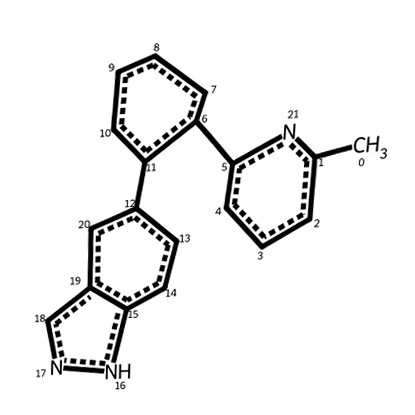 Cc1cccc(-c2ccccc2-c2ccc3[nH]ncc3c2)n1